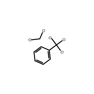 ClC(Cl)(Cl)c1ccccc1.ClCCl